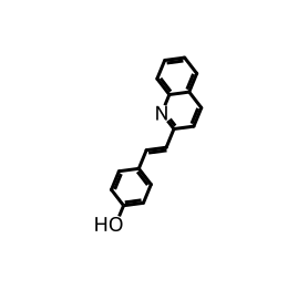 Oc1ccc(C=Cc2ccc3ccccc3n2)cc1